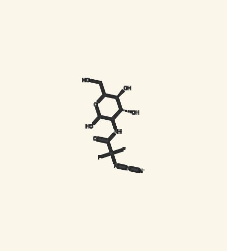 [N-]=[N+]=NC(F)(F)C(=O)NC1C(O)OC(CO)[C@@H](O)[C@@H]1O